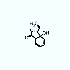 C=CCC1(O)C=CC=CC1C(=O)O